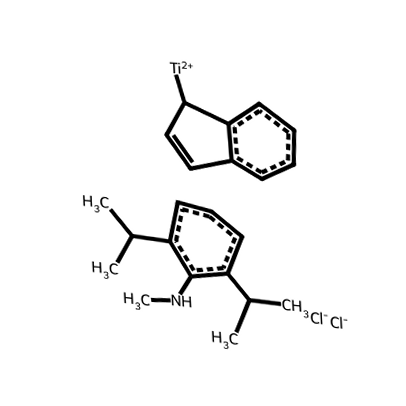 CNc1c(C(C)C)cccc1C(C)C.[Cl-].[Cl-].[Ti+2][CH]1C=Cc2ccccc21